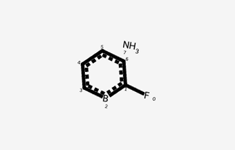 Fc1bcccc1.N